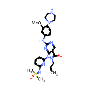 C=CCn1c(=O)c2cnc(Nc3ccc(N4CCNCC4)c(OC)c3)nc2n1-c1cccc(N=S(C)(C)=O)n1